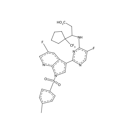 Cc1ccc(S(=O)(=O)n2cc(-c3ncc(F)c(NC(CC(=O)O)C4(C(F)(F)F)CCCC4)n3)c3cc(F)cnc32)cc1